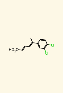 CC(=CC=CC(=O)O)c1ccc(Cl)c(Cl)c1